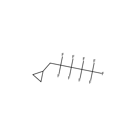 FC(F)(F)C(F)(F)C(F)(F)C(F)(F)CC1CC1